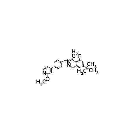 C=C1c2c(F)cc(C(C)(C)C)cc2C=NN1Cc1ccc(-c2ccnc(OC)c2)cc1